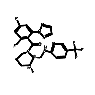 C[C@@H]1CCCN(C(=O)c2c(F)cc(F)cc2-n2nccn2)[C@@H]1CNc1ccc(C(F)(F)F)cn1